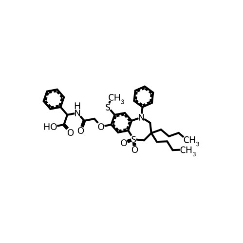 CCCCC1(CCCC)CN(c2ccccc2)c2cc(SC)c(OCC(=O)NC(C(=O)O)c3ccccc3)cc2S(=O)(=O)C1